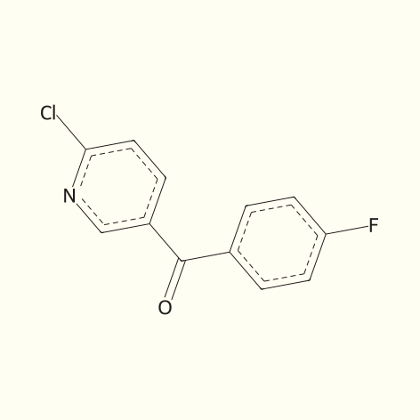 O=C(c1ccc(F)cc1)c1ccc(Cl)nc1